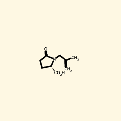 C=C(C)CN1C(=O)CC[C@H]1C(=O)O